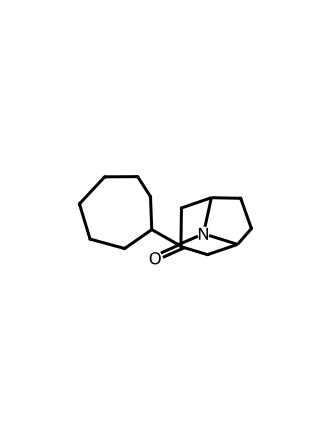 O=C1CC2CCC(C1)N2CC1CCCCCC1